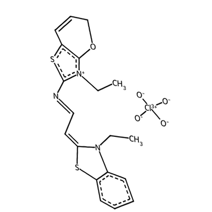 CCN1C(=CC=Nc2sc3c([n+]2CC)OCC=C3)Sc2ccccc21.[O-][Cl+3]([O-])([O-])[O-]